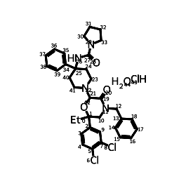 CCC1(c2ccc(Cl)c(Cl)c2)CN(Cc2ccccc2)C(=O)C(N2CCC(NC(=O)N3CCCC3)(c3ccccc3)CC2)O1.Cl.O